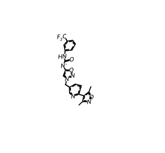 Cc1noc(C)c1-c1ccc(C[n+]2cc([N-]C(=O)Nc3cccc(C(F)(F)F)c3)on2)cn1